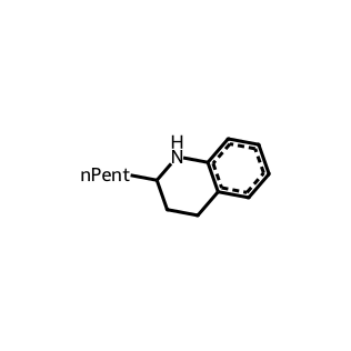 CCCCCC1CCc2ccccc2N1